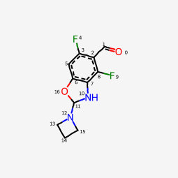 O=Cc1c(F)cc2c(c1F)NC(N1CCC1)O2